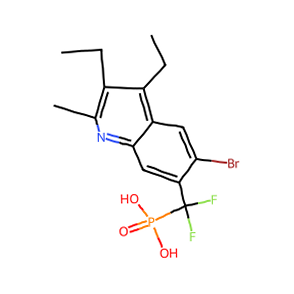 CCc1c(C)nc2cc(C(F)(F)P(=O)(O)O)c(Br)cc2c1CC